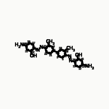 Cc1cc(-c2ccc(N=Nc3ccc(N)cc3O)c(C)c2)ccc1N=Nc1ccc(N)cc1O